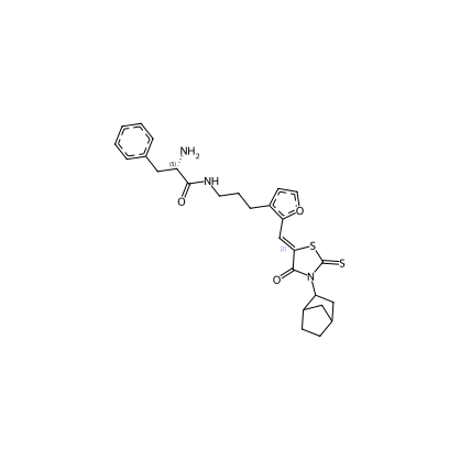 N[C@@H](Cc1ccccc1)C(=O)NCCCc1ccoc1/C=C1\SC(=S)N(C2CC3CCC2C3)C1=O